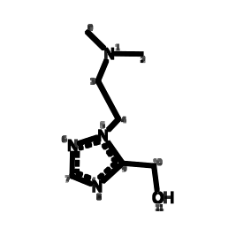 CN(C)CCn1ncnc1CO